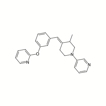 CC1CN(c2cccnc2)CCC1=Cc1cccc(Oc2ccccn2)c1